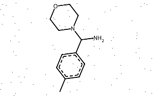 Cc1ccc(C(N)N2CCOCC2)cc1